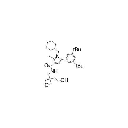 Cc1c(C(=O)NCC2(CCO)COC2)cc(-c2cc(C(C)(C)C)cc(C(C)(C)C)c2)n1CC1CCCCC1